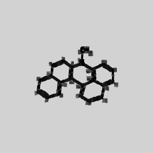 CN1c2ccc3ccccc3c2-c2cccc3cccc1c23